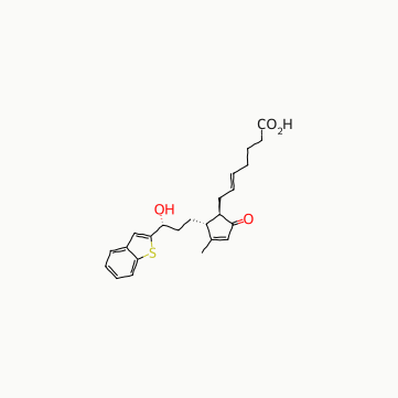 CC1=CC(=O)[C@H](CC=CCCCC(=O)O)[C@H]1CC[C@@H](O)c1cc2ccccc2s1